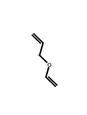 C=C[CH]OC=C